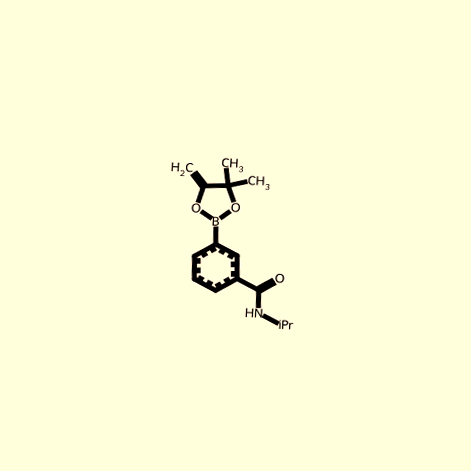 C=C1OB(c2cccc(C(=O)NC(C)C)c2)OC1(C)C